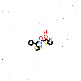 O=C(NC=C(c1ccccc1)c1cccs1)c1sc2cccnc2c1O